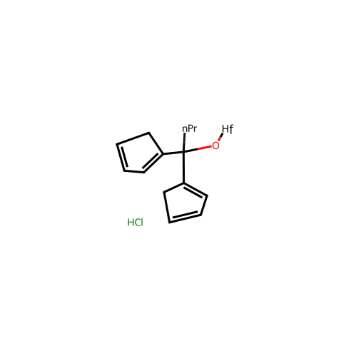 CCCC([O][Hf])(C1=CC=CC1)C1=CC=CC1.Cl